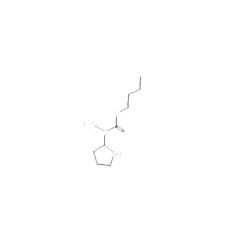 CCCCOC(=O)N(N)C1CCCN1